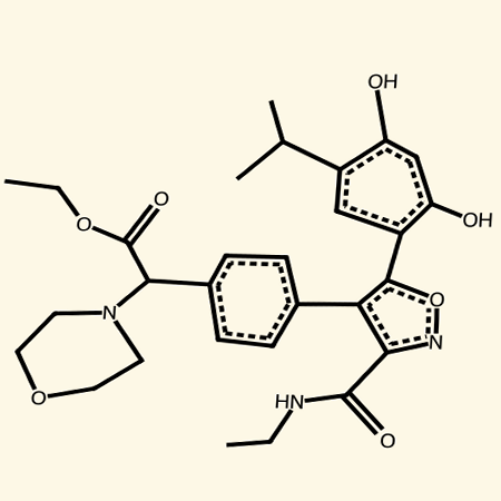 CCNC(=O)c1noc(-c2cc(C(C)C)c(O)cc2O)c1-c1ccc(C(C(=O)OCC)N2CCOCC2)cc1